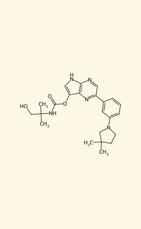 CC1(C)CCN(c2cccc(-c3cnc4[nH]cc(OC(=O)NC(C)(C)CO)c4n3)c2)C1